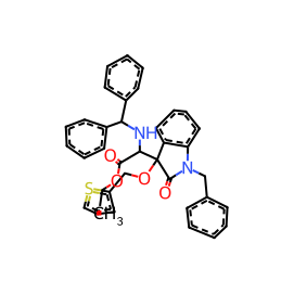 CCOC(=O)C(NC(c1ccccc1)c1ccccc1)C1(OCc2cccs2)C(=O)N(Cc2ccccc2)c2ccccc21